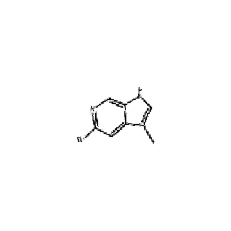 Cc1c[nH]c2cnc(Br)cc12